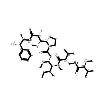 CC[C@H](C)[C@@H]([C@@H](CC(=O)N1CCC[C@H]1[C@H](OC)[C@@H](C)C(=O)N[C@H](C)[C@@H](O)c1ccccc1)OC)N(C)C(=O)[C@@H](CNC(=O)[C@@H](NC)C(C)C)C(C)C